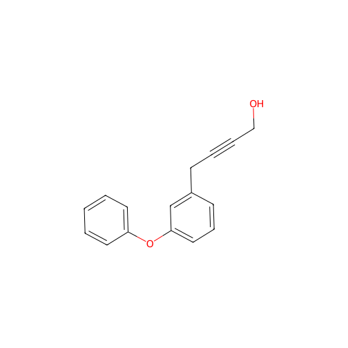 OCC#CCc1cccc(Oc2ccccc2)c1